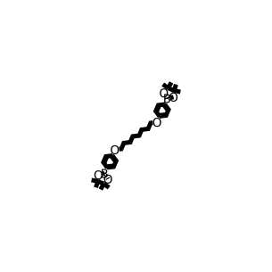 CC1(C)OB(c2ccc(OCCCCCCCCOc3ccc(B4OC(C)(C)C(C)(C)O4)cc3)cc2)OC1(C)C